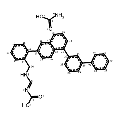 NC(=O)O.O=C(O)N=CNCc1ccccc1-c1ccc2c(-c3cccc(-c4ccccc4)c3)cccc2c1